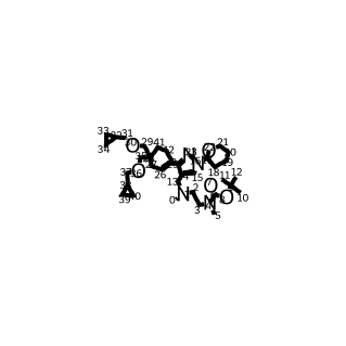 CN(CCN(C)C(=O)OC(C)(C)C)Cc1cn(C2CCCCO2)nc1C1=CCC(COCC2CC2)(COCC2CC2)CC1